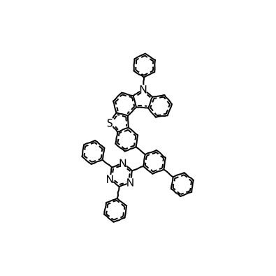 c1ccc(-c2ccc(-c3ccc4sc5ccc6c(c7ccccc7n6-c6ccccc6)c5c4c3)c(-c3nc(-c4ccccc4)nc(-c4ccccc4)n3)c2)cc1